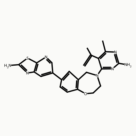 C=C(C)c1c(C)nc(N)nc1N1CCOc2ccc(-c3cnc4sc(N)nc4c3)cc2C1